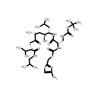 Cc1csc(COC(=O)N[C@@H](CNC(=O)OC(C)(C)C)C(=O)N[C@@H](CC(C)C)[C@@H](O)C[C@@H](C)C(=O)C[C@H](C(=O)NCC(C)C)C(C)C)n1